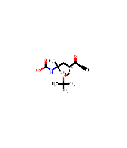 C#CC(=O)[C@H](COC(C)(C)C)CC(C)(C)NC(=O)O